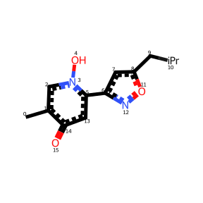 Cc1cn(O)c(-c2cc(CC(C)C)on2)cc1=O